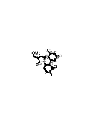 COCC1CC(=O)N(c2ccc(Cl)c(Cl)c2-c2cc(Cl)cc(Cl)c2)C1=O